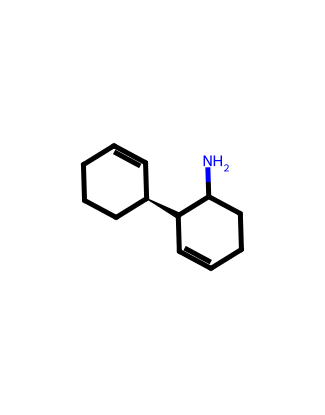 NC1CCC=CC1[C@@H]1C=CCCC1